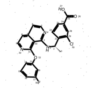 C[C@H](Nc1nccc2ccnc(Oc3cccc(F)c3)c12)c1ccc(C(=O)O)cc1Cl